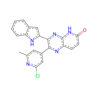 Cc1cc(-c2nc3ccc(=O)[nH]c3nc2-c2cc3ccccc3[nH]2)cc(Cl)n1